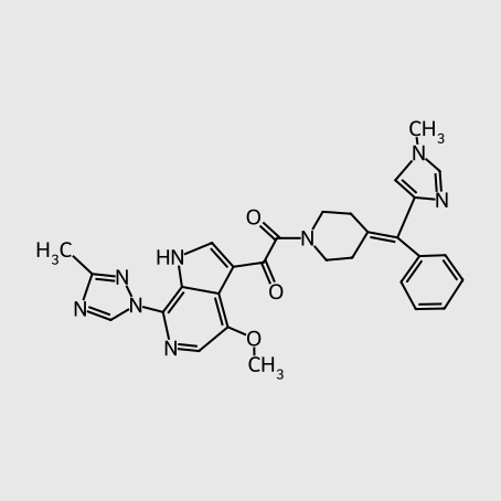 COc1cnc(-n2cnc(C)n2)c2[nH]cc(C(=O)C(=O)N3CCC(=C(c4ccccc4)c4cn(C)cn4)CC3)c12